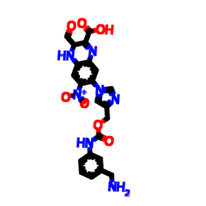 NCc1cccc(NC(=O)OCc2cn(-c3cc4c(cc3[N+](=O)[O-])NC(C=O)C(C(=O)O)=N4)cn2)c1